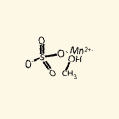 CO.O=S(=O)([O-])[O-].[Mn+2]